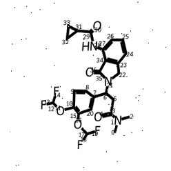 CN(C)C(=O)CC(c1ccc(OC(F)F)c(OC(F)F)c1)N1Cc2cccc(NC(=O)C3CC3)c2C1=O